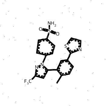 Cc1ccc(-c2nccs2)cc1-c1cc(C(F)(F)F)nn1-c1ccc(S(N)(=O)=O)cc1